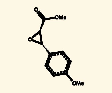 COC(=O)[C@@H]1O[C@H]1c1ccc(OC)cc1